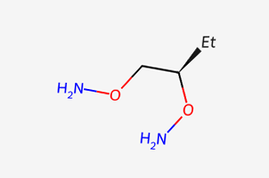 CC[C@H](CON)ON